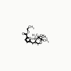 CCOC(=O)c1ccc(CC2COC(C)(C)C(C)(C)N2)o1